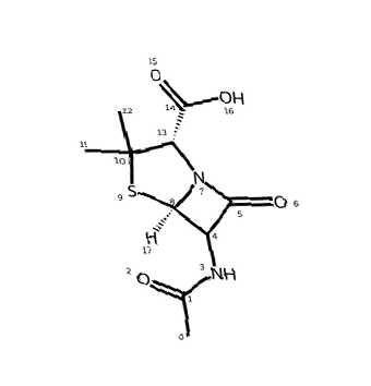 CC(=O)NC1C(=O)N2[C@@H]1SC(C)(C)[C@@H]2C(=O)O